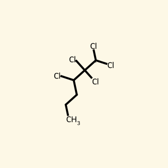 CCCC(Cl)C(Cl)(Cl)[C](Cl)Cl